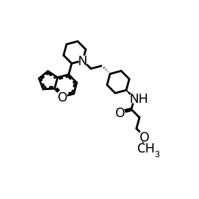 COCCC(=O)N[C@H]1CC[C@H](CCN2CCCCC2c2ccoc3cccc2-3)CC1